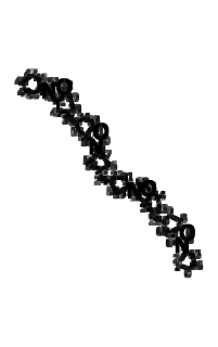 c1ccc(N2COc3ccc(Cc4ccc5c(c4)CN(c4ccc(Cc6ccc(N7COc8ccc(Cc9ccc%10c(c9)CN(c9ccccc9)CO%10)cc8C7)cc6)cc4)CO5)cc3C2)cc1